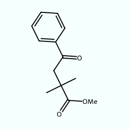 COC(=O)C(C)(C)CC(=O)c1ccccc1